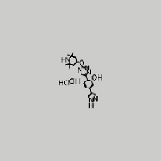 CC1(C)CC(Oc2ncc(-c3ccc(-c4cn[nH]c4)cc3O)nn2)CC(C)(C)N1.Cl.Cl